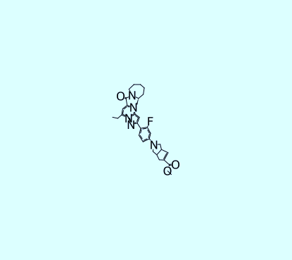 CCc1cc(C(=O)N2CCCCC[C@H]2C)nc2cc(-c3ccc(N4CC5C=C(C(=O)OC)CC5C4)cc3F)nn12